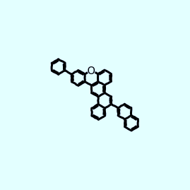 c1ccc(-c2ccc3c(c2)Oc2cccc4c2c-3cc2c3ccccc3c(-c3ccc5ccccc5c3)cc42)cc1